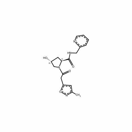 Cc1cc(CC(=O)N2C[C@H](O)C[C@H]2C(=O)NCc2ccccn2)on1